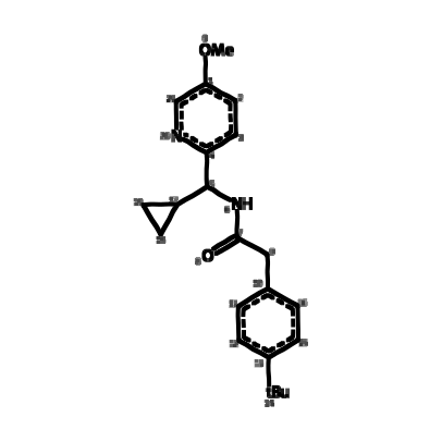 COc1ccc(C(NC(=O)Cc2ccc(C(C)(C)C)cc2)C2CC2)nc1